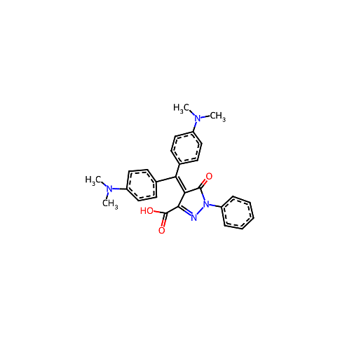 CN(C)c1ccc(C(=C2C(=O)N(c3ccccc3)N=C2C(=O)O)c2ccc(N(C)C)cc2)cc1